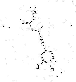 CC(C#Cc1ccc(Cl)c(Cl)c1)NC(=O)OC(C)(C)C